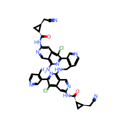 Cc1ccncc1-c1nc(NCc2ccncc2-c2nc(N)c3cnc(NC(=O)[C@@H]4C[C@H]4CC#N)cc3c2Cl)c2cnc(NC(=O)[C@H]3C[C@@H]3CC#N)cc2c1Cl